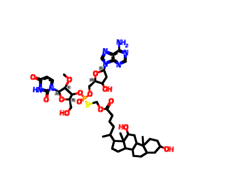 CO[C@H]1C(OP(=O)(OC[C@H]2O[C@@H](n3cnc4c(N)ncnc43)CC2O)SCOC(=O)CCCC(C)C2CCC3C4CCC5CC(O)CCC5(C)C4CC(O)C23C)[C@@H](CO)O[C@H]1n1ccc(=O)[nH]c1=O